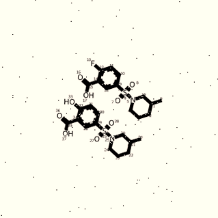 CC1CCCN(S(=O)(=O)c2ccc(F)c(C(=O)O)c2)C1.CC1CCCN(S(=O)(=O)c2ccc(O)c(C(=O)O)c2)C1